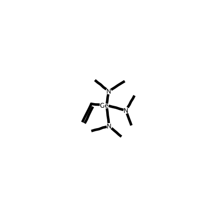 C=[CH][Ge]([N](C)C)([N](C)C)[N](C)C